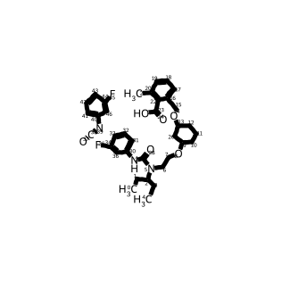 CCC(CC)N(CCOC1CCCC(OCc2cccc(C)c2C(=O)O)C1)C(=O)Nc1cccc(F)c1.O=C=Nc1cccc(F)c1